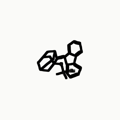 CCCC[Si](C)(C)OC12CC3CC(CC(C3)C1=C1c3ccccc3-c3ccccc31)C2